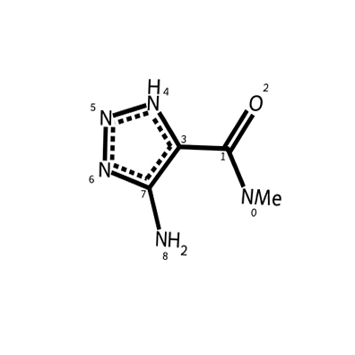 CNC(=O)c1[nH]nnc1N